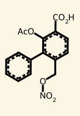 CC(=O)Oc1c(C(=O)O)ccc(CO[N+](=O)[O-])c1-c1ccccc1